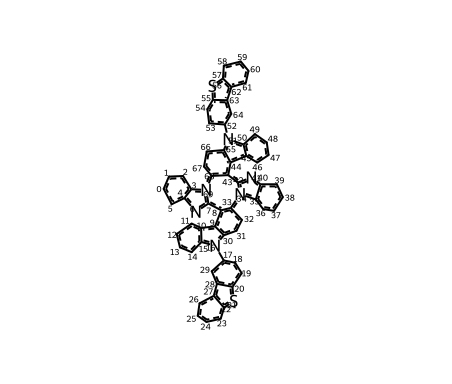 c1ccc2c(c1)nc1c3c4c5ccccc5n(-c5ccc6sc7ccccc7c6c5)c4ccc3n3c4ccccc4nc3c3c4c5ccccc5n(-c5ccc6sc7ccccc7c6c5)c4ccc3n21